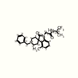 Cc1cccc2c1C1(CCN(Cc3ccccc3)CC1)C(=O)N2CC(=O)N[C@H](C)C(F)(F)F